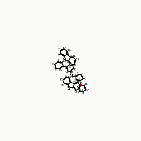 c1ccc(-c2cccc(N(c3cccc(-c4ccccc4-n4c5ccccc5c5ccccc54)c3)c3cccc4sc5ccccc5c34)c2)cc1